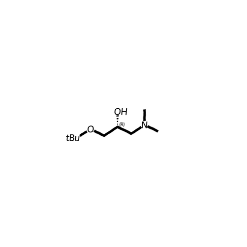 CN(C)C[C@@H](O)COC(C)(C)C